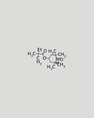 CCC(C)(C)C(=O)OC1CC(C)(C)[NH+]([O-])C(C)(C)C1